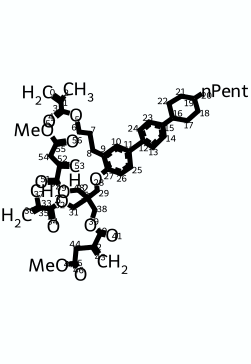 C=C(C)C(=O)OCCCc1cc(-c2ccc(C3CCC(CCCCC)CC3)cc2)ccc1OCC(COC(=O)C(=C)C)(COC(=O)C(=C)CC(=O)OC)COC(=O)C(=C)CC(=O)OC